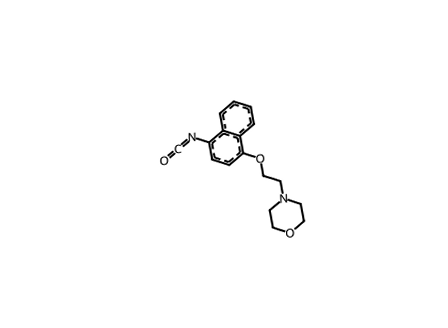 O=C=Nc1ccc(OCCN2CCOCC2)c2ccccc12